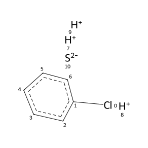 Clc1ccccc1.[H+].[H+].[H+].[S-2]